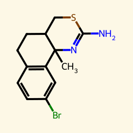 CC12N=C(N)SCC1CCc1ccc(Br)cc12